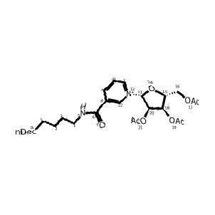 CCCCCCCCCCCCCCNC(=O)c1ccc[n+]([C@@H]2O[C@H](COC(C)=O)[C@@H](OC(C)=O)[C@H]2OC(C)=O)c1